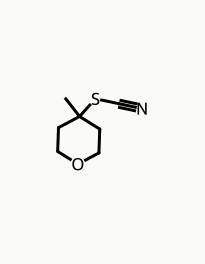 CC1(SC#N)CCOCC1